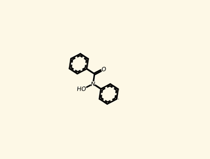 O=C(c1ccccc1)N(O)c1cc[c]cc1